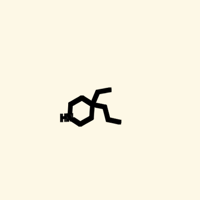 CCCC1(CC)CCNCC1